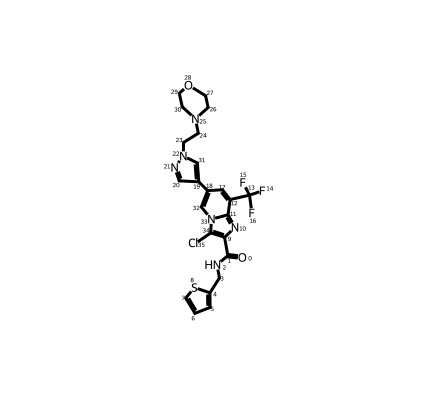 O=C(NCc1cccs1)c1nc2c(C(F)(F)F)cc(-c3cnn(CCN4CCOCC4)c3)cn2c1Cl